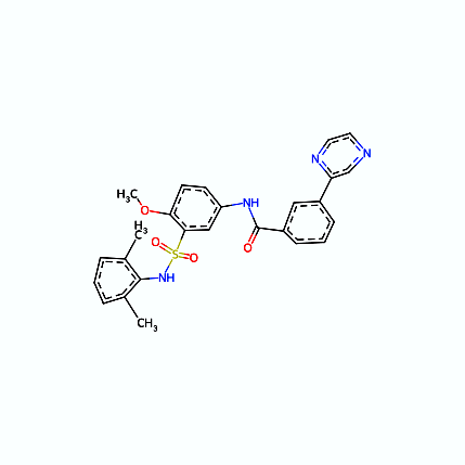 COc1ccc(NC(=O)c2cccc(-c3cnccn3)c2)cc1S(=O)(=O)Nc1c(C)cccc1C